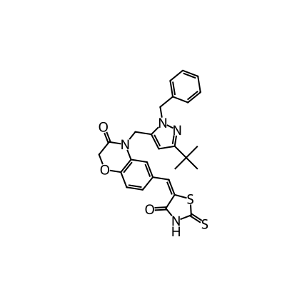 CC(C)(C)c1cc(CN2C(=O)COc3ccc(C=C4SC(=S)NC4=O)cc32)n(Cc2ccccc2)n1